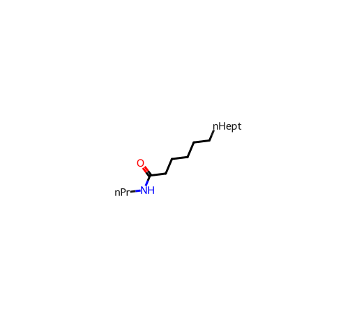 CCCCCCCCCCCCC(=O)NCCC